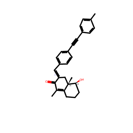 CC1=C2CCC[C@H](O)[C@@]2(C)C/C(=C\c2ccc(C#Cc3ccc(C)cc3)cc2)C1=O